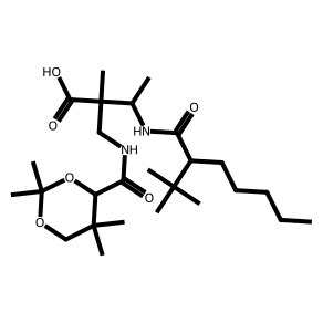 CCCCCC(C(=O)NC(C)C(C)(CNC(=O)C1OC(C)(C)OCC1(C)C)C(=O)O)C(C)(C)C